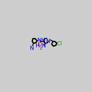 N#Cc1cccc(NC(=O)C2=C(N)CN(Cc3cccc(Cl)c3)CC2)c1